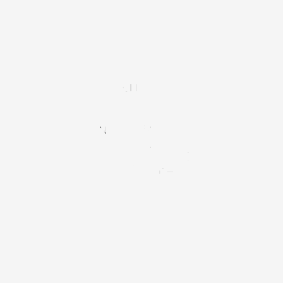 CC1=Nc2ccccc2C(C)(C=O)O1